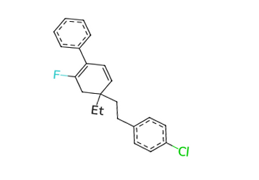 CCC1(CCc2ccc(Cl)cc2)C=CC(c2ccccc2)=C(F)C1